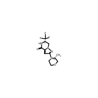 C[C@@H]1COCCN1c1cc2n(n1)C[C@@H](C(F)(F)F)NC2=O